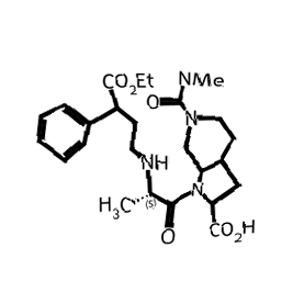 CCOC(=O)C(CCN[C@@H](C)C(=O)N1C(C(=O)O)CC2CCN(C(=O)NC)CC21)c1ccccc1